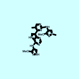 COc1nn(C)cc1Nc1ncc(C)c(-c2c[nH]c3c(Nc4c[nH]nc4OC)ncnc23)n1